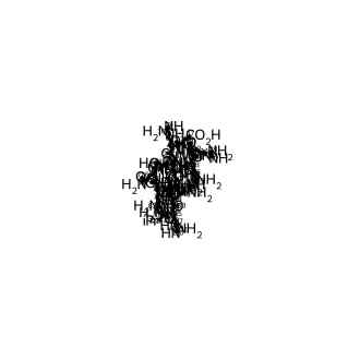 CNC(=O)C(CCCNC(=N)N)NC(=O)C(CCC(=O)O)NC(=O)C(CCCNC(=N)N)NC(=O)C(CCCNC(=N)N)NC(=O)C(CC(C)C)NC(=O)C(CCCNC(=N)N)NC(=O)C(CO)NC(=O)C(CCC(N)=O)NC(=O)C(CCCNC(=N)N)NC(=O)C(CCC(=O)O)NC(=O)C(CCCNC(=N)N)NC(=O)C(CCCNC(=N)N)NC(=O)C(N)CC(C)C